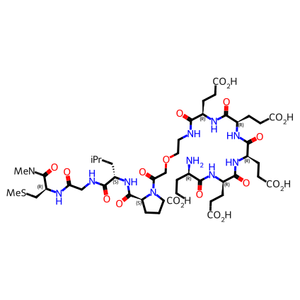 CNC(=O)[C@H](CSC)NC(=O)CNC(=O)[C@H](CC(C)C)NC(=O)[C@@H]1CCCN1C(=O)COCCNC(=O)[C@@H](CCC(=O)O)NC(=O)[C@@H](CCC(=O)O)NC(=O)[C@@H](CCC(=O)O)NC(=O)[C@@H](CCC(=O)O)NC(=O)[C@H](N)CCC(=O)O